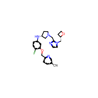 N#Cc1ccc(COc2cc(N[C@@H]3CCN(Cc4nccn4C[C@@H]4CCO4)C3)ccc2F)nc1